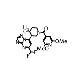 COc1cc(C(=O)N2CC[C@@H](C)[C@H](c3cc(C(F)F)nc4ncnn34)C2)cc(OC)n1